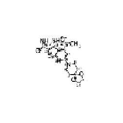 C[S+]([O-])c1cc(N2CCC3(CC2)OCCO3)nc2sc(C(N)=O)c(N)c12